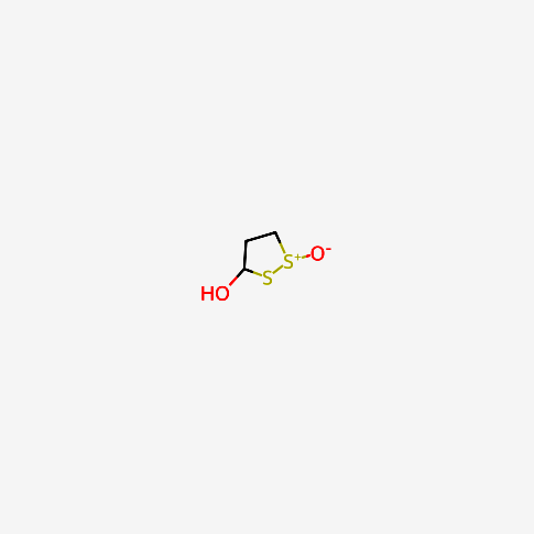 [O-][S+]1CCC(O)S1